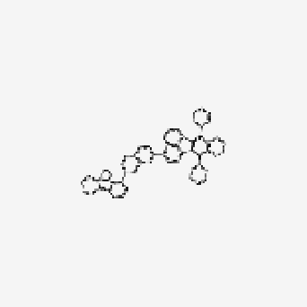 c1ccc(-c2c3c(c(-c4ccccc4)c4ccccc24)-c2ccc(-c4ccc5ccc(-c6cccc7c6oc6ccccc67)cc5c4)c4cccc-3c24)cc1